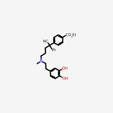 CCOC(=O)c1ccc(C(C#N)(CCCN(C)CCc2ccc(O)c(O)c2)C(C)C)cc1